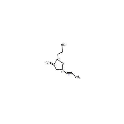 C=C1C[C@H](/C=C/C)O[C@H]1CCC(C)(C)C